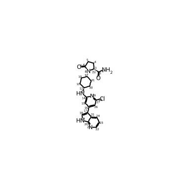 NC(=O)[C@@H]1CCC(=O)N1[C@H]1CC[C@H](Nc2cc(-c3c[nH]c4ncccc34)cc(Cl)n2)CC1